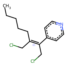 CCCCC/C(CCl)=C(/CCl)c1ccncc1